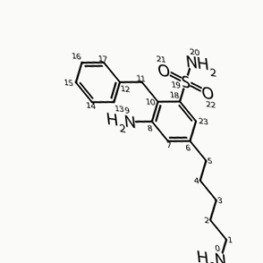 NCCCCCc1cc(N)c(Cc2ccccc2)c(S(N)(=O)=O)c1